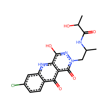 CC(Cn1nc(O)c2[nH]c3cc(Cl)ccc3c(=O)c2c1=O)NC(=O)C(C)O